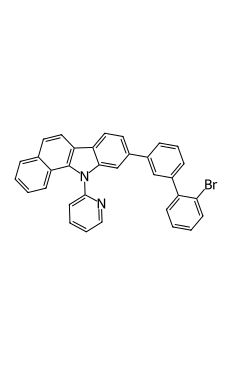 Brc1ccccc1-c1cccc(-c2ccc3c4ccc5ccccc5c4n(-c4ccccn4)c3c2)c1